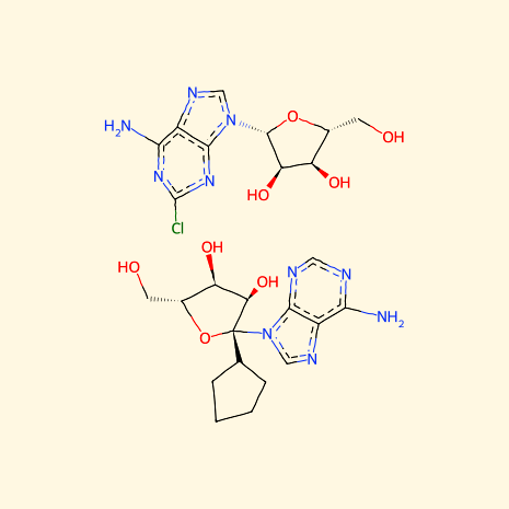 Nc1nc(Cl)nc2c1ncn2[C@@H]1O[C@H](CO)[C@@H](O)[C@H]1O.Nc1ncnc2c1ncn2[C@]1(C2CCCC2)O[C@H](CO)[C@@H](O)[C@H]1O